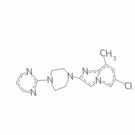 Cc1cc(Cl)cn2cc(N3CCN(c4ncccn4)CC3)nc12